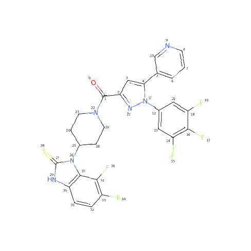 O=C(c1cc(-c2cccnc2)n(-c2cc(F)c(F)c(F)c2)n1)N1CCC(n2c(=S)[nH]c3ccc(F)c(F)c32)CC1